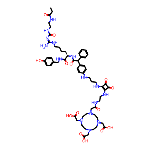 CCC(=O)NCCNC(=O)/N=C(/N)NCCCC[C@@H](NC(=O)C(c1ccccc1)c1ccc(NCCCNc2c(NCCNC(=O)CN3CCN(CC(=O)O)CCN(CC(=O)O)CCN(CC(=O)O)CC3)c(=O)c2=O)cc1)C(=O)NCc1ccc(O)cc1